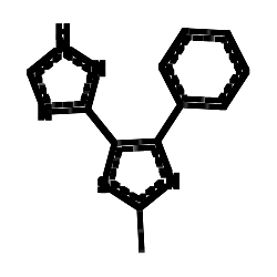 Cc1nc(-c2ccccc2)c(-c2nc[nH]n2)s1